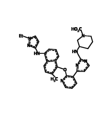 CCn1ccc(Nc2cccc3c(Oc4ncccc4-c4ccnc(NC5CCCN(C(=O)O)C5)n4)c(C)ccc23)n1